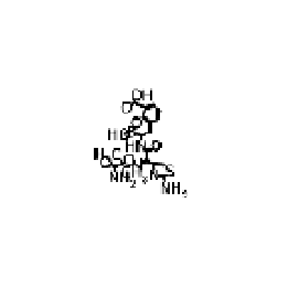 CC(C)(ON=C(C(=O)NC1Cc2cccc(C(=O)O)c2OB1O)c1csc(N)n1)C(N)=O